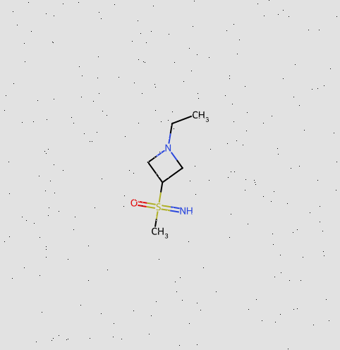 CCN1CC(S(C)(=N)=O)C1